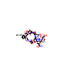 CC[C@H](C)[C@@H]1NC(=O)[C@H](Cc2ccc(OC)cc2)N(C)C(=O)[C@H]([C@@H](C)O)N2C(=O)[C@H](CC[C@H]2O)NC(=O)[C@H](CC(C)C)NC(=O)[C@@H](NC(=O)[C@H](CCC(N)=O)NC(=O)[C@@H](NC(=O)[C@@H](O)CO)C(C)C)[C@@H](C)OC1=O